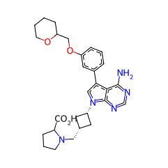 Nc1ncnc2c1c(-c1cccc(OCC3CCCCO3)c1)cn2[C@H]1C[C@@H](CN2CCCC2C(=O)O)C1